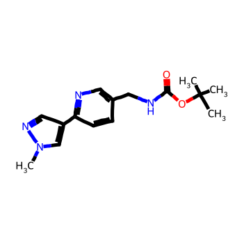 Cn1cc(-c2ccc(CNC(=O)OC(C)(C)C)cn2)cn1